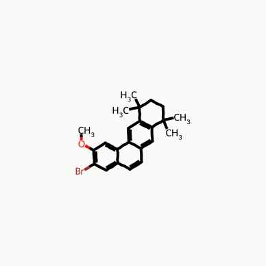 COc1cc2c(ccc3cc4c(cc32)C(C)(C)CCC4(C)C)cc1Br